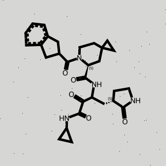 O=C(NC1CC1)C(=O)C(C[C@@H]1CCNC1=O)NC(=O)[C@@H]1CC2(CCN1C(=O)C1Cc3ccccc3C1)CC2